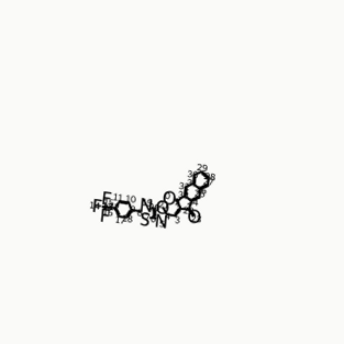 O=C1C(=Cc2nc3sc(-c4ccc(C(F)(F)F)cc4)nc3o2)C(=O)c2cc3ccccc3cc21